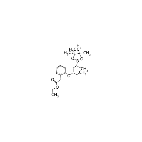 CCOC(=O)Cc1ccccc1OC(=CC(C)B1OC(C)(C)C(C)(C)O1)CC